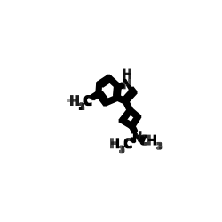 [CH2]c1ccc2[nH]cc(C3CC(N(C)C)C3)c2c1